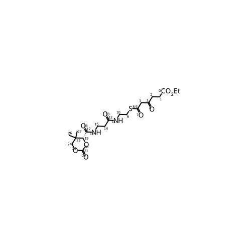 CCOC(=O)CCC(=O)CC(=O)SCCNC(=O)CCNC(=O)[C@@H]1OC(=O)OCC1(C)C